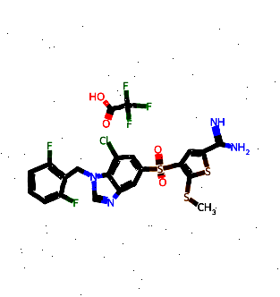 CSc1sc(C(=N)N)cc1S(=O)(=O)c1cc(Cl)c2c(c1)ncn2Cc1c(F)cccc1F.O=C(O)C(F)(F)F